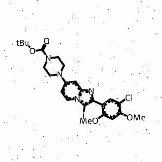 COc1cc(OC)c(-c2nc3cc(N4CCN(C(=O)OC(C)(C)C)CC4)ccn3c2I)cc1Cl